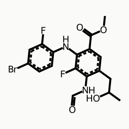 COC(=O)c1cc(CC(C)O)c(NC=O)c(F)c1Nc1ccc(Br)cc1F